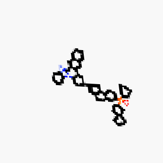 O=P(c1ccccc1)(c1ccc2ccccc2c1)c1ccc2c(ccc3cc(-c4ccc5c(c4)c4cc6ccccc6cc4c4nc6ccccc6n54)ccc32)c1